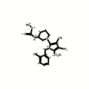 CCOC(=O)c1c(N)c(C#N)c(N2CCCC(NC(=O)OC(C)(C)C)C2)n1Cc1ccccc1Cl